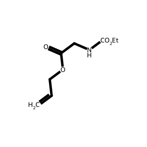 C=CCOC(=O)CNC(=O)OCC